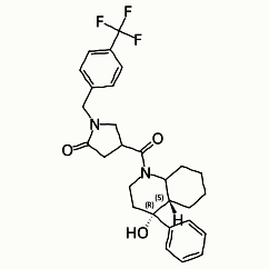 O=C1CC(C(=O)N2CC[C@](O)(c3ccccc3)[C@H]3CCCCC32)CN1Cc1ccc(C(F)(F)F)cc1